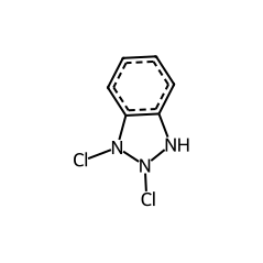 ClN1Nc2ccccc2N1Cl